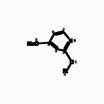 CCOc1cc(OC)ccn1